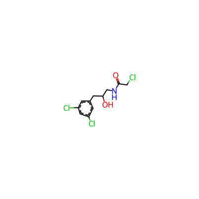 O=C(CCl)NCC(O)Cc1cc(Cl)cc(Cl)c1